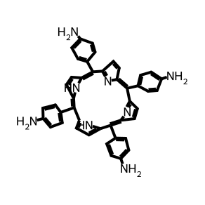 Nc1ccc(-c2c3nc(c(-c4ccc(N)cc4)c4ccc([nH]4)c(-c4ccc(N)cc4)c4ccc([nH]4)c(-c4ccc(N)cc4)c4nc2C=C4)C=C3)cc1